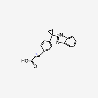 O=C(O)/C=C/c1ccc(C2(c3nc4ccccc4[nH]3)CC2)cc1